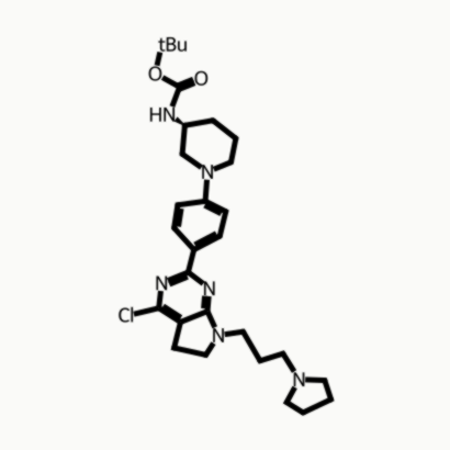 CC(C)(C)OC(=O)N[C@H]1CCCN(c2ccc(-c3nc(Cl)c4c(n3)N(CCCN3CCCC3)CC4)cc2)C1